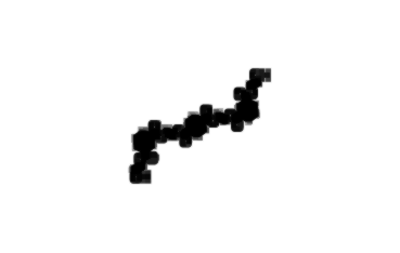 O=C(OCCO)c1cccc(C(=O)OCCOC(=O)c2ccc(C(=O)OCCOC(=O)c3cccc(C(=O)OCCO)c3)cc2)c1